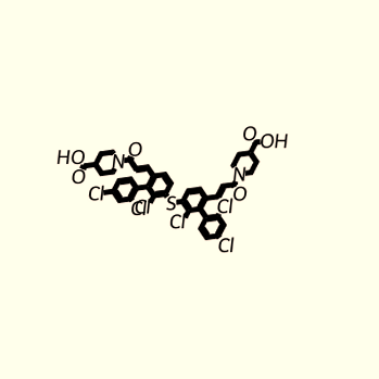 O=C(O)C1CCN(C(=O)/C=C/c2ccc(Sc3ccc(/C=C/C(=O)N4CCC(C(=O)O)CC4)c(-c4ccc(Cl)cc4Cl)c3Cl)c(Cl)c2-c2ccc(Cl)cc2Cl)CC1